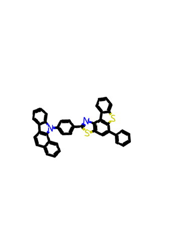 c1ccc(-c2cc3sc(-c4ccc(-n5c6ccccc6c6ccc7ccccc7c65)cc4)nc3c3c2sc2ccccc23)cc1